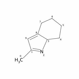 CC1=NC2CCCCC2=C1